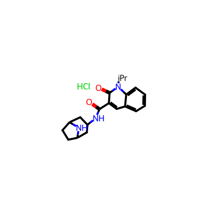 CC(C)n1c(=O)c(C(=O)NC2CC3CCC(C2)N3)cc2ccccc21.Cl